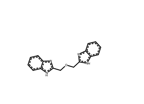 c1ccc2[nH]c(COCc3nc4ccccc4[nH]3)nc2c1